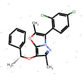 Cc1nn2c(-c3ccc(Cl)cc3Cl)c(C)oc2c1O[C@H](C)c1ccccc1